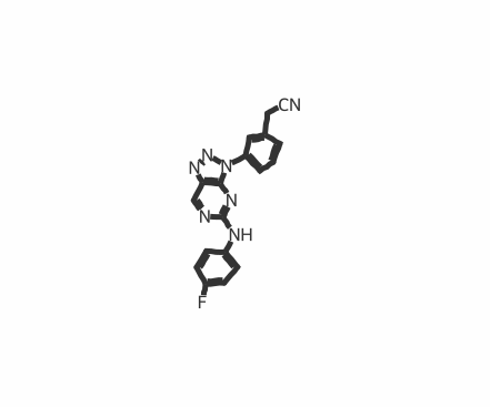 N#CCc1cccc(-n2nnc3cnc(Nc4ccc(F)cc4)nc32)c1